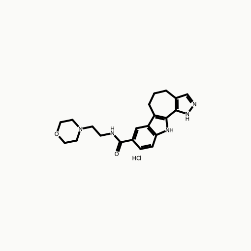 Cl.O=C(NCCN1CCOCC1)c1ccc2[nH]c3c(c2c1)CCCc1cn[nH]c1-3